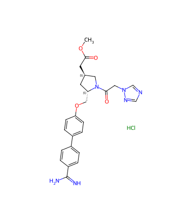 COC(=O)C[C@@H]1C[C@@H](COc2ccc(-c3ccc(C(=N)N)cc3)cc2)N(C(=O)Cn2cncn2)C1.Cl